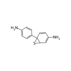 NC1=CC2SC2(c2ccc(N)cc2)C=C1